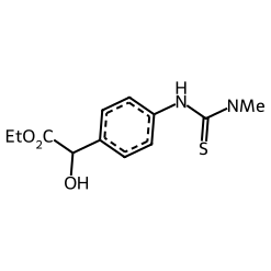 CCOC(=O)C(O)c1ccc(NC(=S)NC)cc1